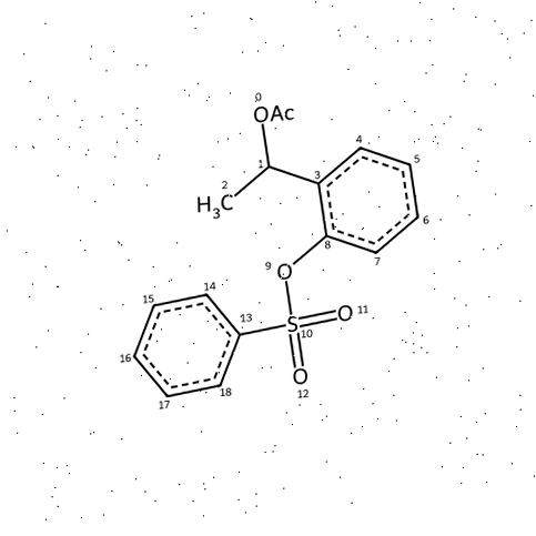 CC(=O)OC(C)c1ccccc1OS(=O)(=O)c1ccccc1